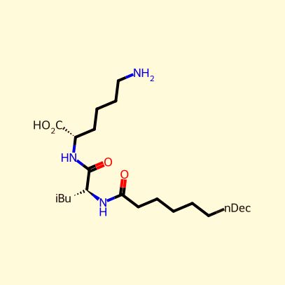 CCCCCCCCCCCCCCCC(=O)N[C@H](C(=O)N[C@@H](CCCCN)C(=O)O)[C@@H](C)CC